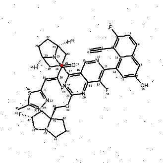 C#Cc1c(F)ccc2cc(O)cc(-c3ncc4c(N5C[C@H]6CC[C@@H](C5)N6C(=O)/C(F)=C/c5nnc(C)s5)nc(OC[C@@]56CCCN5C[C@H](F)C6)nc4c3F)c12